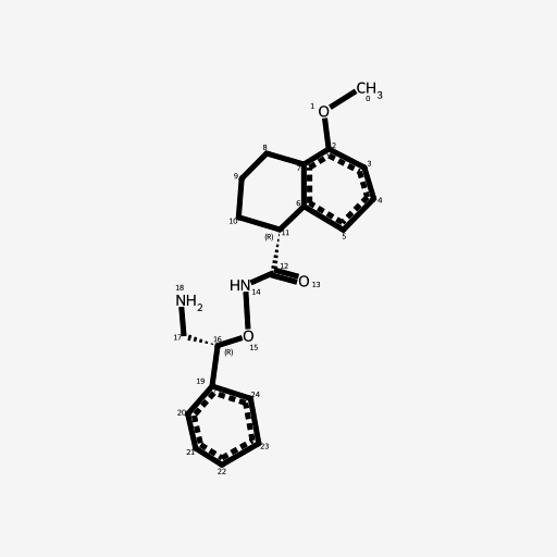 COc1cccc2c1CCC[C@H]2C(=O)NO[C@@H](CN)c1ccccc1